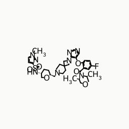 C[C@@H]1COC[C@@H](C)N1C(=O)c1cc(F)ccc1Oc1cncnc1N1CC2(CCN(C[C@@H]3CC[C@@H](NS(=O)(=O)c4ccn(C)n4)CO3)CC2)C1